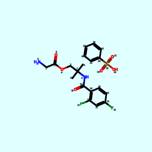 CC(C)(COC(=O)CN)NC(=O)c1ccc(F)cc1F.O=S(=O)(O)c1ccccc1